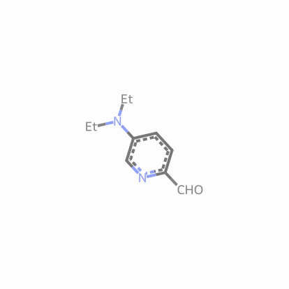 CCN(CC)c1ccc(C=O)nc1